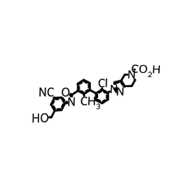 Cc1c(-c2nc3cc(CO)cc(C#N)c3o2)cccc1-c1cccc(-n2cc3c(n2)CCN(C(=O)O)C3)c1Cl